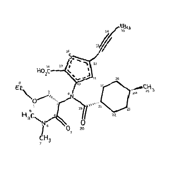 CCOC[C@@H](C(=O)N(C)C)N(c1cc(C#CC(C)(C)C)sc1C(=O)O)C(=O)[C@H]1CC[C@H](C)CC1